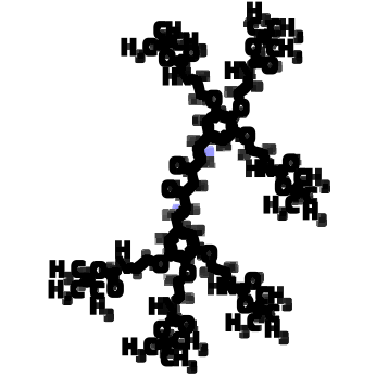 CC(C)(C)OC(=O)NCCOc1cc(/C=C/C(=O)CC(=O)/C=C/c2cc(OCCNC(=O)OC(C)(C)C)c(OCCNC(=O)OC(C)(C)C)c(OCCNC(=O)OC(C)(C)C)c2)cc(OCCNC(=O)OC(C)(C)C)c1OCCNC(=O)OC(C)(C)C